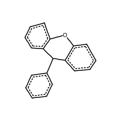 c1ccc([C]2c3ccccc3Oc3ccccc32)cc1